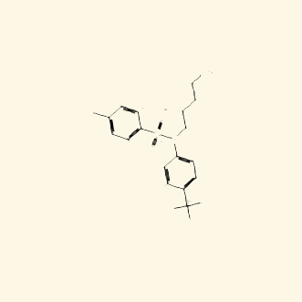 N#CCCCCN(c1ccc(C(O)(C(F)(F)F)C(F)(F)F)cc1)S(=O)(=O)c1ccc(Cl)cc1